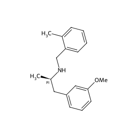 COc1cccc(C[C@@H](C)NCc2ccccc2C)c1